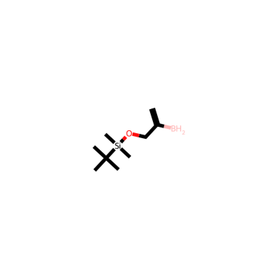 BC(=C)CO[Si](C)(C)C(C)(C)C